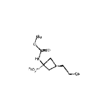 CCOC(=O)[C@]1(NC(=O)OC(C)(C)C)C[C@@H](CCO)C1